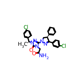 C[C@H](c1ccc(Cl)cc1)n1nc(N2C[C@@H](c3ccccc3)C(c3ccc(Cl)cc3)=N2)n(CC(N)=O)c1=O